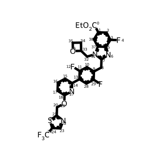 CCOC(=O)c1cc(F)c2nc(Cc3cc(F)c(-c4cccc(OCc5ncc(C(F)(F)F)s5)n4)cc3F)n(CC3CCO3)c2c1